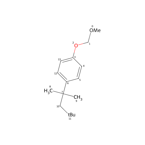 [CH2]OCOc1ccc(C(C)(C)CC(C)(C)C)cc1